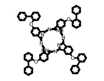 c1ccc(-c2ccccc2Oc2ccc3c(c2)-c2nc-3nc3[nH]c(nc4nc(nc5[nH]c(n2)c2ccc(Oc6ccccc6-c6ccccc6)cc52)-c2ccc(Oc5ccccc5-c5ccccc5)cc2-4)c2ccc(Oc4ccccc4-c4ccccc4)cc32)cc1